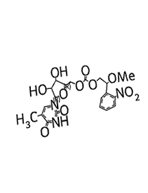 COC(COC(=O)OC[C@H]1O[C@@H](n2cc(C)c(=O)[nH]c2=O)C(O)C1O)c1ccccc1[N+](=O)[O-]